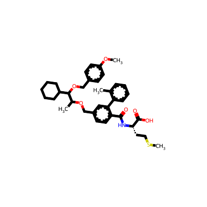 COc1ccc(COC(C2CCCCC2)C(C)OCc2ccc(C(=O)N[C@@H](CCSC)C(=O)O)c(-c3ccccc3C)c2)cc1